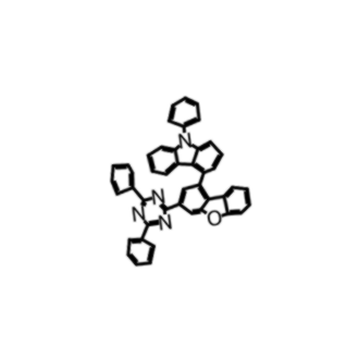 c1ccc(-c2nc(-c3ccccc3)nc(-c3cc(-c4cccc5c4c4ccccc4n5-c4ccccc4)c4c(c3)oc3ccccc34)n2)cc1